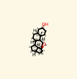 C[C@]12CC[C@@H](O)C[C@@H]1CC[C@@H]1[C@@H]2CC[C@@]23C(=O)C=CC[C@H]2CC[C@@H]13